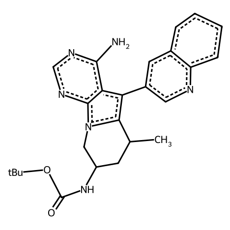 CC1CC(NC(=O)OC(C)(C)C)Cn2c1c(-c1cnc3ccccc3c1)c1c(N)ncnc12